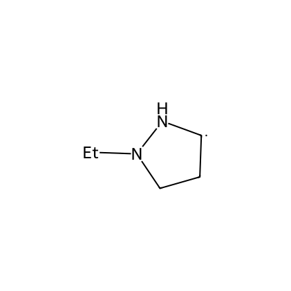 CCN1CC[CH]N1